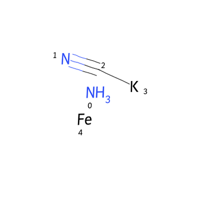 N.N#[C][K].[Fe]